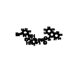 O=C(NC[C@@H]1CN[C@H](C(=O)Nc2cccc(Br)n2)C1)OCC1c2ccccc2-c2ccccc21